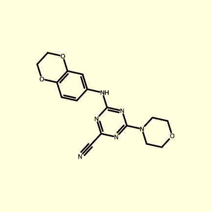 N#Cc1nc(Nc2ccc3c(c2)OCCO3)nc(N2CCOCC2)n1